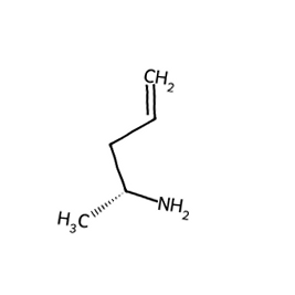 C=CC[C@@H](C)N